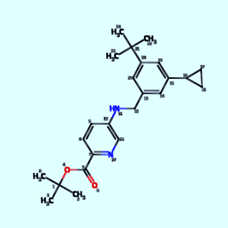 CC(C)(C)OC(=O)c1ccc(NCc2cc(C3CC3)cc(C(C)(C)C)c2)cn1